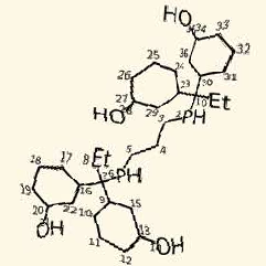 CCC(PCCCPC(CC)(C1CCCC(O)C1)C1CCCC(O)C1)(C1CCCC(O)C1)C1CCCC(O)C1